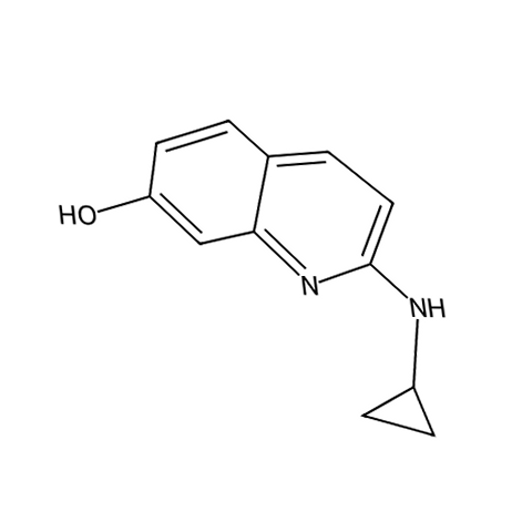 Oc1ccc2ccc(NC3CC3)nc2c1